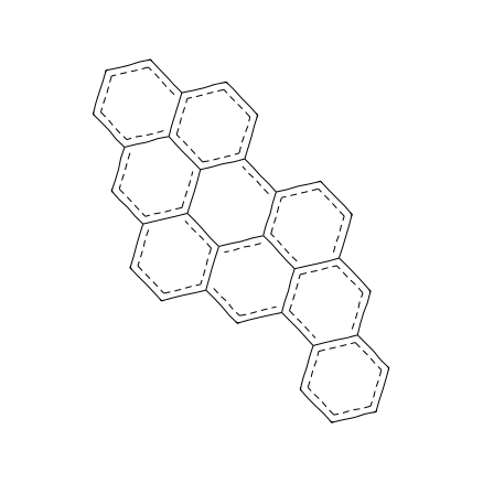 c1ccc2c(c1)cc1ccc3c4ccc5cccc6cc7ccc8cc2c1c3c8c7c4c56